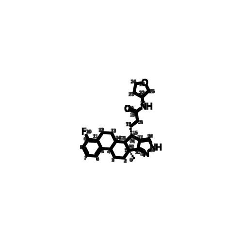 C[C@]12CCC3c4cccc(F)c4CCC3C1[C@H](CCC(=O)NC1CCOC1)c1c[nH]nc12